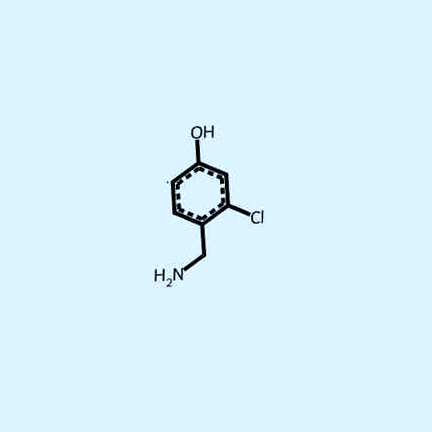 NCc1c[c]c(O)cc1Cl